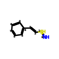 N=[SH]C=Cc1ccccc1